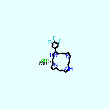 Fc1cc(-c2cc3cc4nc(cc5ccc(cc6nc(cc2[nH]3)C=C6)[nH]5)C=C4)cc(F)c1F.[Cl-].[Cl-].[Mn+2]